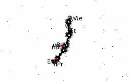 CCCCC1(CCCC)c2cc(C#Cc3ccc(N(CC)CCC)cc3)ccc2-c2ccc(C#Cc3ccc(N(CC)CCOc4ccc(OC)cc4)cc3)cc21